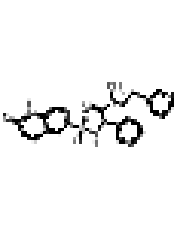 CN(CCc1cccnc1)C(=O)C(NS(=O)(=O)c1ccc2[nH]c(=O)ccc2c1)c1ccccc1